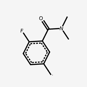 [CH2]c1ccc(F)c(C(=O)N(C)C)c1